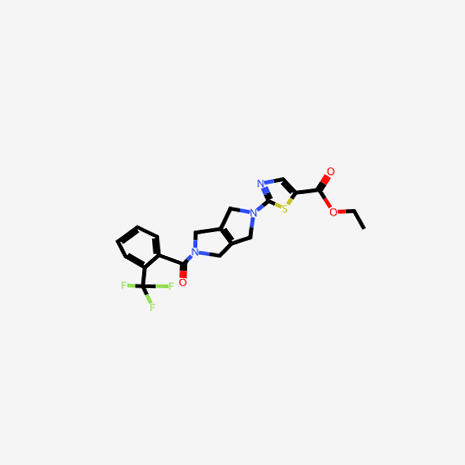 CCOC(=O)c1cnc(N2CC3=C(CN(C(=O)c4ccccc4C(F)(F)F)C3)C2)s1